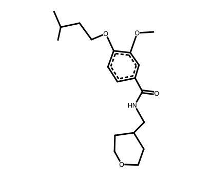 COc1cc(C(=O)NCC2CCOCC2)ccc1OCCC(C)C